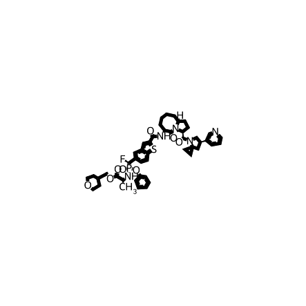 C[C@H](NP(=O)(Oc1ccccc1)[C@@H](F)c1ccc2sc(C(=O)N[C@H]3CCCC[C@H]4CC[C@@H](C(=O)N5C[C@@H](c6cccnc6)CC56CC6)N4C3=O)cc2c1)C(=O)OCC1CCOCC1